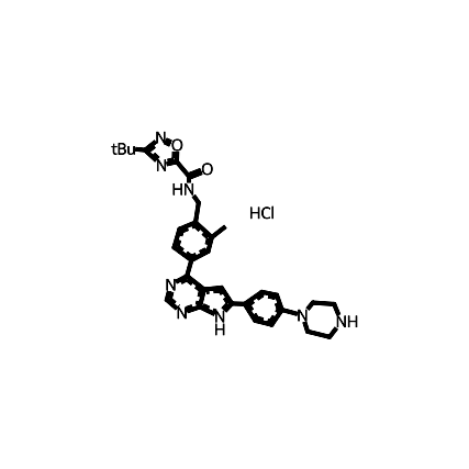 Cc1cc(-c2ncnc3[nH]c(-c4ccc(N5CCNCC5)cc4)cc23)ccc1CNC(=O)c1nc(C(C)(C)C)no1.Cl